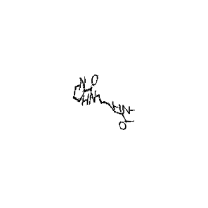 CNC(CCCCNC(=O)C1=NCCC1)C(C)=O